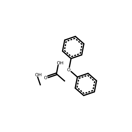 CC(=O)O.CO.c1ccc(Oc2ccccc2)cc1